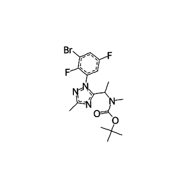 Cc1nc(C(C)N(C)C(=O)OC(C)(C)C)n(-c2cc(F)cc(Br)c2F)n1